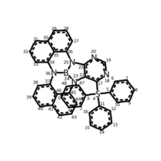 c1ccc(S(c2ccccc2)(c2ccccc2)c2ncnc3c2N2B4N3c3cccc5cccc(c35)N4c3cccc4cccc2c34)cc1